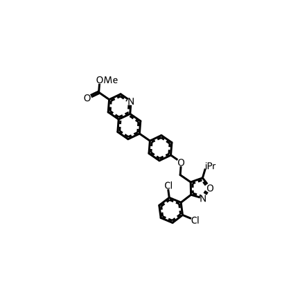 COC(=O)c1cnc2cc(-c3ccc(OCc4c(-c5c(Cl)cccc5Cl)noc4C(C)C)cc3)ccc2c1